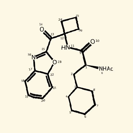 CC(=O)N[C@@H](CC1CCCCC1)C(=O)NC1(C(=O)c2nc3ccccc3o2)CCC1